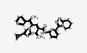 C=C(F)/C(=C\C(=C(/C)c1cccnc1)n1cnc(C2CC2)c1)C(=O)Nc1cccc(-c2nnc3n2CCCC3)n1